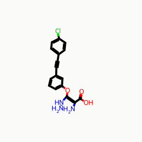 NN/C(Oc1cccc(C#Cc2ccc(Cl)cc2)c1)=C(\N)C(=O)O